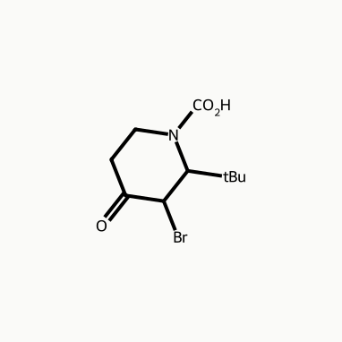 CC(C)(C)C1C(Br)C(=O)CCN1C(=O)O